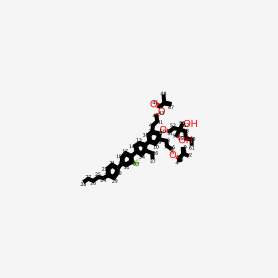 C=C(C)C(=C)OCCCc1cc(-c2ccc(-c3ccc(-c4ccc(CCCCC)cc4)cc3F)cc2CC)cc(CCCOC(=O)C(=C)C)c1OCCC(CO)(CO)CCCC